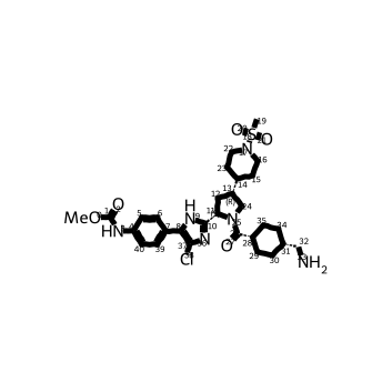 COC(=O)Nc1ccc(-c2[nH]c([C@@H]3C[C@H](C4CCN(S(C)(=O)=O)CC4)CN3C(=O)[C@H]3CC[C@@H](CN)CC3)nc2Cl)cc1